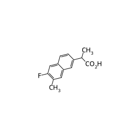 Cc1cc2cc(C(C)C(=O)O)ccc2cc1F